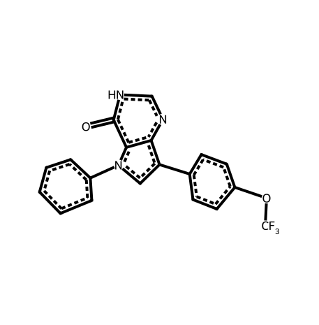 O=c1[nH]cnc2c(-c3ccc(OC(F)(F)F)cc3)cn(-c3ccccc3)c12